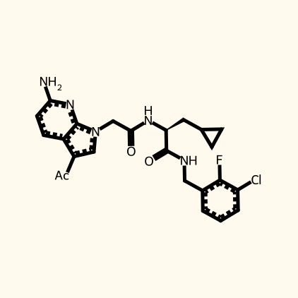 CC(=O)c1cn(CC(=O)N[C@@H](CC2CC2)C(=O)NCc2cccc(Cl)c2F)c2nc(N)ccc12